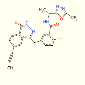 CC#Cc1ccc2c(=O)[nH]nc(Cc3ccc(F)c(C(=O)NC(C)c4nnc(C(F)(F)F)o4)c3)c2c1